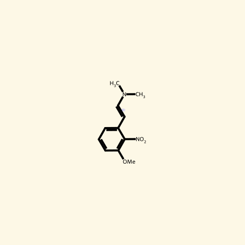 COc1cccc(/C=C/N(C)C)c1[N+](=O)[O-]